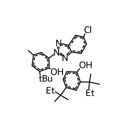 CCC(C)(C)c1ccc(O)c(C(C)(C)CC)c1.Cc1cc(-n2nc3ccc(Cl)cc3n2)c(O)c(C(C)(C)C)c1